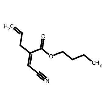 C=CCC(=CC#N)C(=O)OCCCC